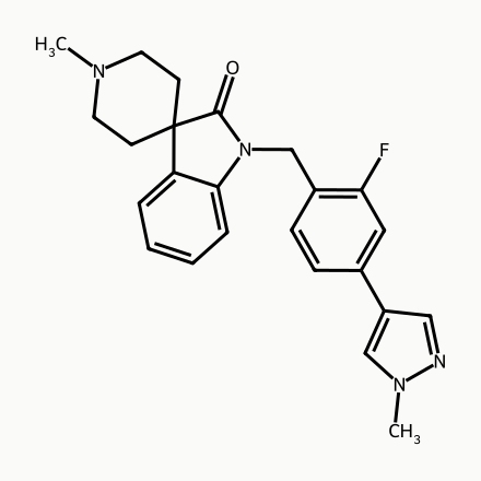 CN1CCC2(CC1)C(=O)N(Cc1ccc(-c3cnn(C)c3)cc1F)c1ccccc12